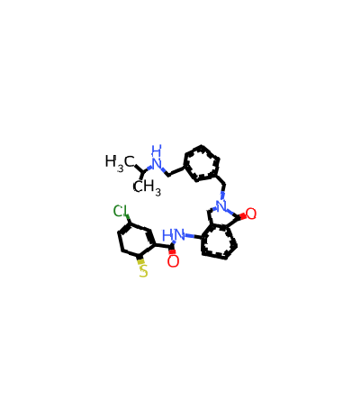 CC(C)NCc1cccc(CN2Cc3c(NC(=O)C4=CC(Cl)=CCC4=S)cccc3C2=O)c1